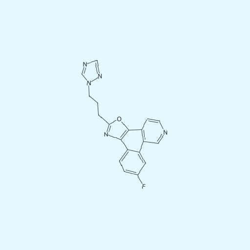 Fc1ccc2c(c1)c1cnccc1c1oc(CCCn3cncn3)nc21